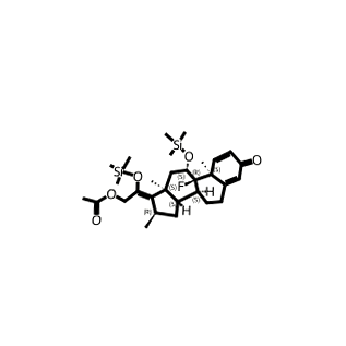 CC(=O)OCC(O[Si](C)(C)C)=C1[C@H](C)C[C@H]2[C@@H]3CCC4=CC(=O)C=C[C@]4(C)[C@@]3(F)[C@@H](O[Si](C)(C)C)C[C@]12C